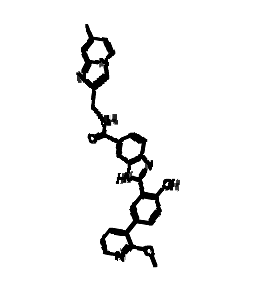 COc1ncccc1-c1ccc(O)c(-c2nc3ccc(C(=O)NCc4cn5ccc(C)cc5n4)cc3[nH]2)c1